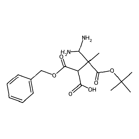 CC(C)(C)OC(=O)C(C)(C(N)N)C(C(=O)O)C(=O)OCc1ccccc1